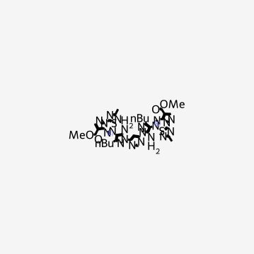 CCCCc1nn(-c2cc(-n3nc(CCCC)c(/N=N/c4c(C(=O)OC)cnn4-c4nc(C)ns4)c3N)ncn2)c(N)c1/N=N/c1c(C(=O)OC)cnn1-c1nc(C)ns1